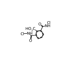 O=C(NCl)c1cccc(C(=O)NCl)c1C(=O)O